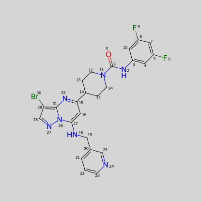 O=C(Nc1cc(F)cc(F)c1)N1CCC(c2cc(NCc3cccnc3)n3ncc(Br)c3n2)CC1